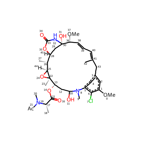 COc1cc2cc(c1Cl)N(C)C(O)C[C@H](OC(=O)[C@H](C)N(C)C(C)=O)[C@@]1(C)O[C@H]1[C@H](C)[C@@H]1C[C@@](O)(NC(=O)O1)[C@H](OC)/C=C/C=C(\C)C2